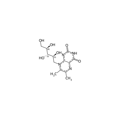 Cc1nc2c(=O)[nH]c(=O)nc-2n(C[C@H](O)[C@H](O)[C@H](O)CO)c1C